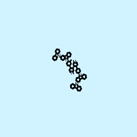 CC1CC(c2ccncc2-c2cnccc2-c2ccc(-n3c4ccccc4c4cc(-n5c6ccccc6c6ccccc65)ccc43)cc2)=CC=C1n1c2ccccc2c2cc(-n3c4ccccc4c4ccccc43)ccc21